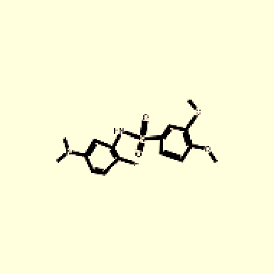 COc1ccc(S(=O)(=O)Nc2cc(N(C)C)ccc2F)cc1OC